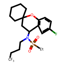 CCS(=O)(=O)N(CCCC(F)(F)F)C1CC2(CCCCC2)Oc2ccc(F)cc21